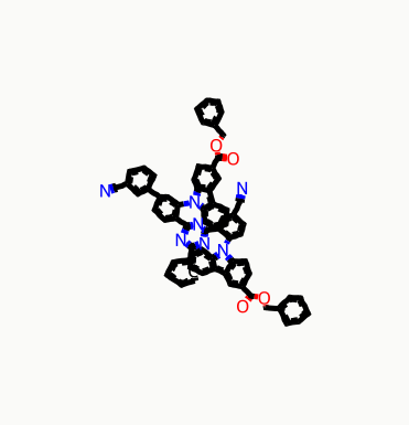 N#Cc1cccc(-c2ccc(-c3nc(-c4ccccc4)nc(-c4cc(C#N)ccc4-n4c5ccccc5c5cc(C(=O)OCc6ccccc6)ccc54)n3)c(-n3c4ccccc4c4cc(C(=O)OCc5ccccc5)ccc43)c2)c1